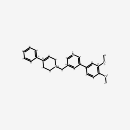 COc1ccc(-c2cncc(CN3CC=C(c4ccccc4)CC3)c2)cc1OC